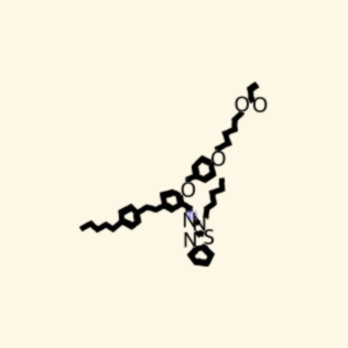 C=CC(=O)OCCCCCCOc1ccc(COc2ccc(CCc3ccc(CCCCC)cc3)cc2/C=N/N(CCCCCC)c2nc3ccccc3s2)cc1